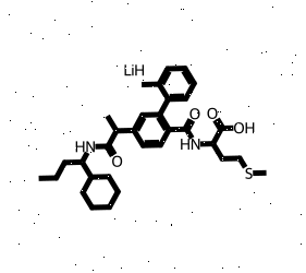 CCCC(NC(=O)C(C)c1ccc(C(=O)NC(CCSC)C(=O)O)c(-c2ccccc2C)c1)C1CCCCC1.[LiH]